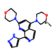 C[C@@H]1CN(c2cc(N3CCOCC3)nc3c(-c4ccn[nH]4)nccc23)CCO1